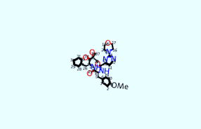 COc1ccc(C[C@H](NC(=O)c2ccnc(N3CCOCC3)n2)C(=O)N[C@@H](Cc2ccccc2)C(=O)[C@@]2(C)CO2)cc1